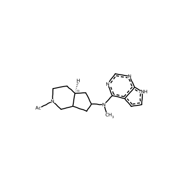 CC(=O)N1CC[C@H]2CC(N(C)c3ncnc4[nH]ccc34)CC2C1